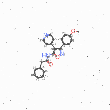 COc1ccc(-c2noc(NC(=O)Cc3ccccc3)c2-c2ccncc2)cc1